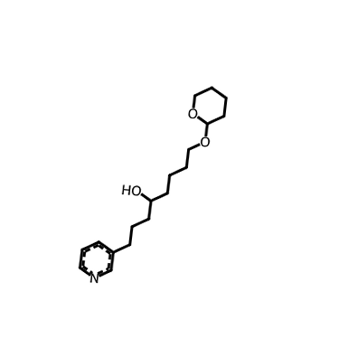 OC(CCCCOC1CCCCO1)CCCc1cccnc1